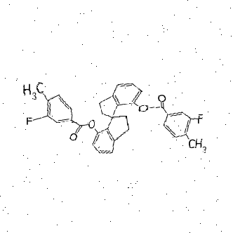 Cc1ccc(C(=O)Oc2cccc3c2C2(CC3)CCc3cccc(OC(=O)c4ccc(C)c(F)c4)c32)cc1F